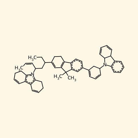 C/C=C\C(CC(CC)C1=CC2=C(CC1)c1ccc(C3=CC=CC(N4c5ccccc5C5C=CC=CC54)C3)cc1C2(C)C)n1c2c(c3c1CCC=C3)C=CCC2